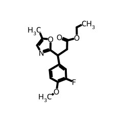 CCOC(=O)CC(c1ccc(OC)c(F)c1)c1ncc(C)o1